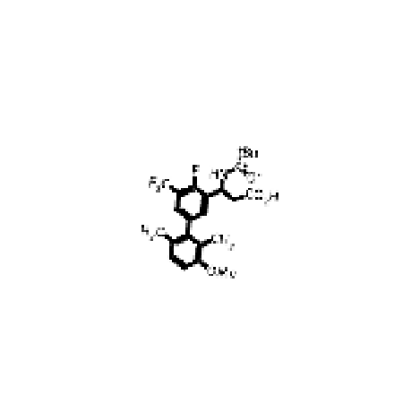 COc1ccc(C)c(-c2cc(C(CC(=O)O)N[S@+]([O-])C(C)(C)C)c(F)c(C(F)(F)F)c2)c1C